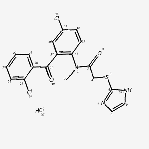 CN(C(=O)CSc1ncc[nH]1)c1ccc(Cl)cc1C(=O)c1ccccc1Cl.Cl